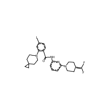 O=C(Nc1cccc(N2CCC(=C(F)F)CC2)n1)c1ccc(I)cc1N1CCC2(CC1)CC2